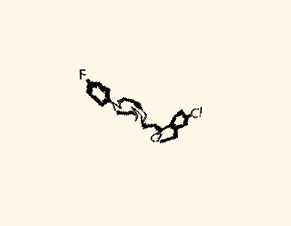 Fc1ccc(N2CCN(CCC3OCCc4cc(Cl)ccc43)CC2)cc1